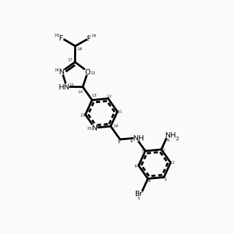 Nc1ccc(Br)cc1NCc1ccc(C2NN=C(C(F)F)O2)cn1